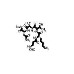 CNC(=O)[C@H](CC(N)=O)NC(=O)[C@H](C)NC(=O)C(NC(=O)[C@H](CCCCN)NC(=O)CCNC=O)C(C)O